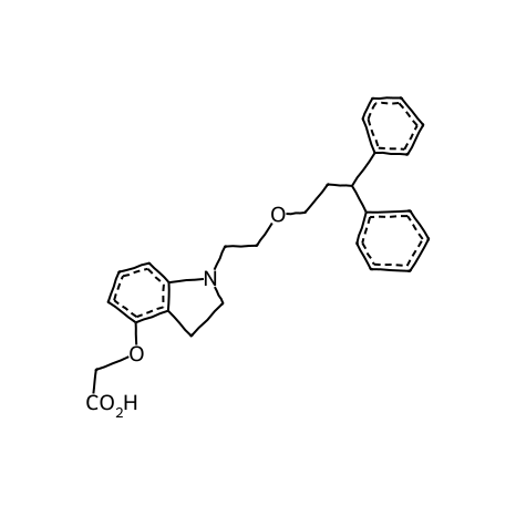 O=C(O)COc1cccc2c1CCN2CCOCCC(c1ccccc1)c1ccccc1